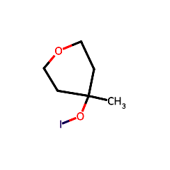 CC1(OI)CCOCC1